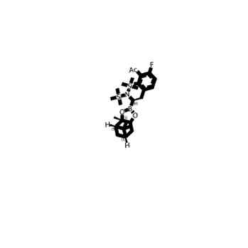 CC(=O)c1c(F)ccc(C[C@@H](B2OC3C[C@@H]4C[C@@H](C4(C)C)[C@]3(C)O2)N([Si](C)(C)C)[Si](C)(C)C)c1C